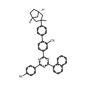 CC1(c2ccc(-c3ccc(-c4nc(-c5ccc(C#N)cc5)nc(-c5cccc6ccccc56)n4)cc3C#N)cc2)C[C@@H]2CC[C@H](C2)C1